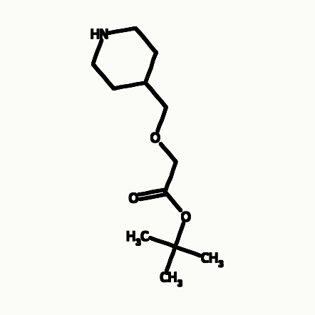 CC(C)(C)OC(=O)COCC1CCNCC1